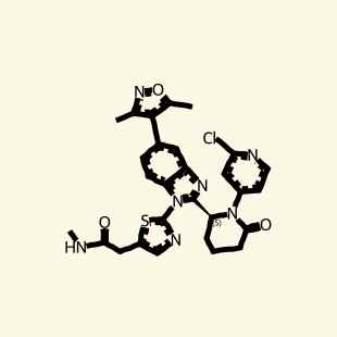 CNC(=O)Cc1cnc(-n2c([C@@H]3CCCC(=O)N3c3ccnc(Cl)c3)nc3cc(-c4c(C)noc4C)ccc32)s1